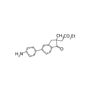 CCOC(=O)CC1(C)Cc2cc(-c3ccc(N)cc3)ccc2C1=O